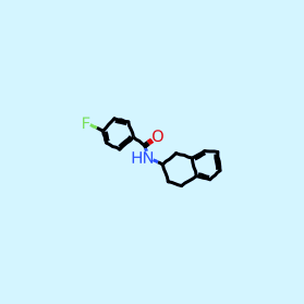 O=C(NC1CCc2ccccc2C1)c1ccc(F)cc1